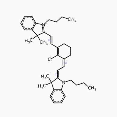 CCCCN1/C(=C\C=C2\CCCC(/C=C/C3=[N+](CCCC)c4ccccc4C3(C)C)=C2Cl)C(C)(C)c2ccccc21